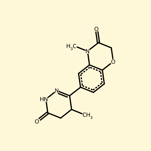 CC1CC(=O)NN=C1c1ccc2c(c1)N(C)C(=O)CO2